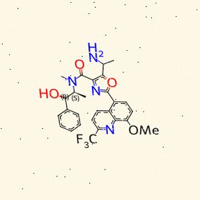 COc1ccc(-c2nc(C(=O)N(C)[C@@H](C)[C@H](O)c3ccccc3)c(C(C)N)o2)c2ccc(C(F)(F)F)nc12